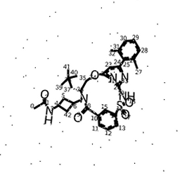 CC(=O)NC1CC(N2C(=O)c3cccc(c3)S(=O)(=O)Nc3nc(cc(-c4c(C)cccc4C)n3)OC[C@H]2CC(C)(C)C)C1